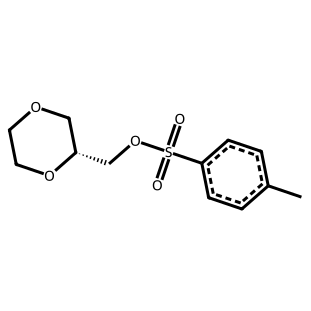 Cc1ccc(S(=O)(=O)OC[C@H]2COCCO2)cc1